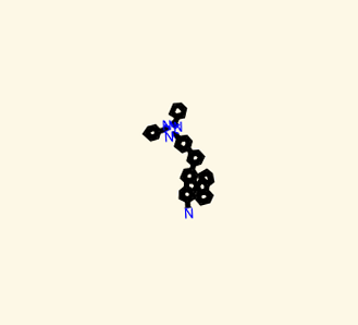 N#Cc1ccc2c(c1)C1(c3ccccc3-c3ccccc31)c1cc(-c3cccc(-c4ccc(-c5nc(C6=CC=CCC6)nc(-c6ccccc6)n5)cc4)c3)ccc1-2